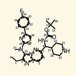 CCc1nc2ccc(C(NC(=O)OC(C)(C)C)C3CCNCC3)nn2c1N(C)c1nc(-c2ccc(F)cc2)cs1